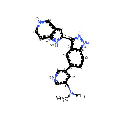 CN(C)c1cncc(-c2ccc3[nH]nc(-c4cc5cnccc5[nH]4)c3c2)c1